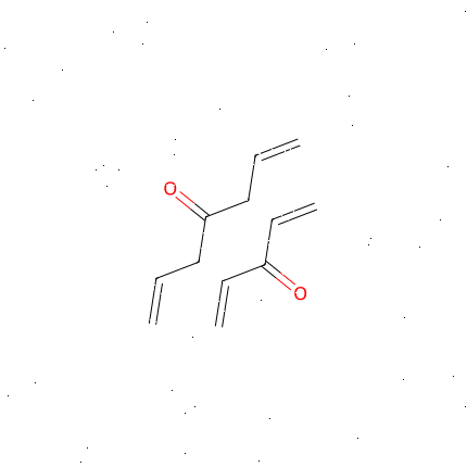 C=CC(=O)C=C.C=CCC(=O)CC=C